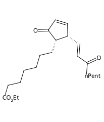 CCCCCC(=O)C=C[C@H]1C=CC(=O)[C@H]1CCCCCCC(=O)OCC